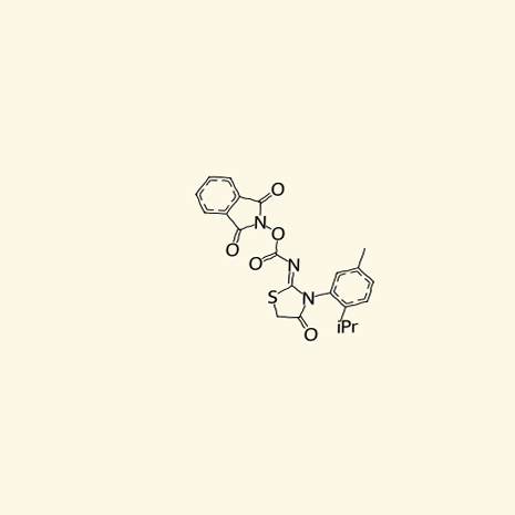 Cc1ccc(C(C)C)c(N2C(=O)CS/C2=N\C(=O)ON2C(=O)c3ccccc3C2=O)c1